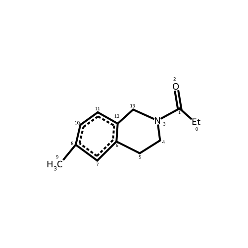 CCC(=O)N1CCc2cc(C)ccc2C1